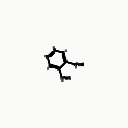 CCCCCc1nnnnc1CCCCC